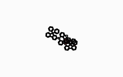 c1ccc(C2(c3ccccc3)c3ccccc3-c3ccc(N(c4cccc(N(c5cccc6c5C(c5ccccc5)(c5ccccc5)c5ccccc5-6)c5cccc6c5sc5ccccc56)c4)c4cccc5oc6ccccc6c45)cc32)cc1